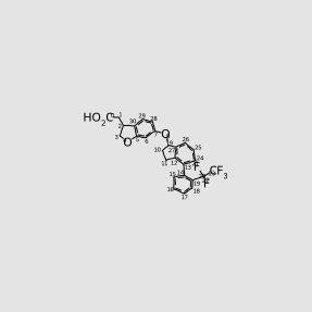 O=C(O)CC1COc2cc(O[C@@H]3CCc4c(-c5ccccc5C(F)(F)C(F)(F)F)cccc43)ccc21